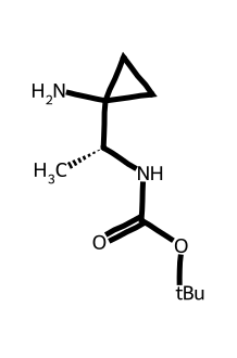 C[C@@H](NC(=O)OC(C)(C)C)C1(N)CC1